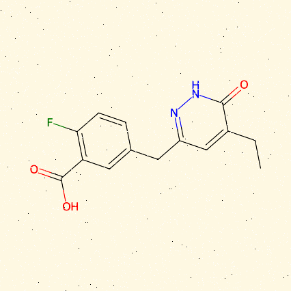 CCc1cc(Cc2ccc(F)c(C(=O)O)c2)n[nH]c1=O